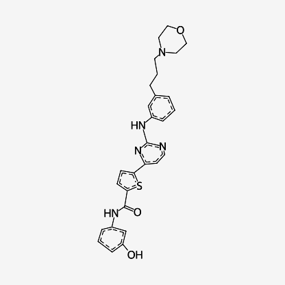 O=C(Nc1cccc(O)c1)c1ccc(-c2ccnc(Nc3cccc(CCCN4CCOCC4)c3)n2)s1